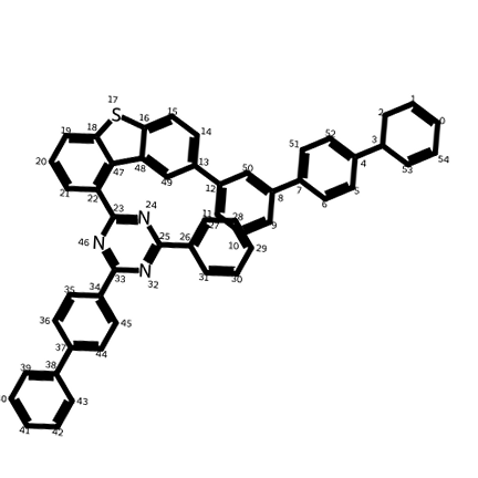 C1=CCC(c2ccc(-c3cccc(-c4ccc5sc6cccc(-c7nc(-c8ccccc8)nc(-c8ccc(-c9ccccc9)cc8)n7)c6c5c4)c3)cc2)C=C1